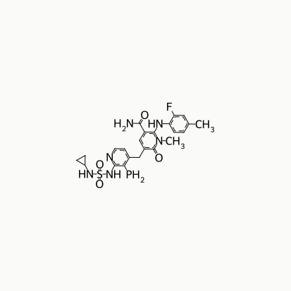 Cc1ccc(Nc2c(C(N)=O)cc(Cc3ccnc(NS(=O)(=O)NC4CC4)c3P)c(=O)n2C)c(F)c1